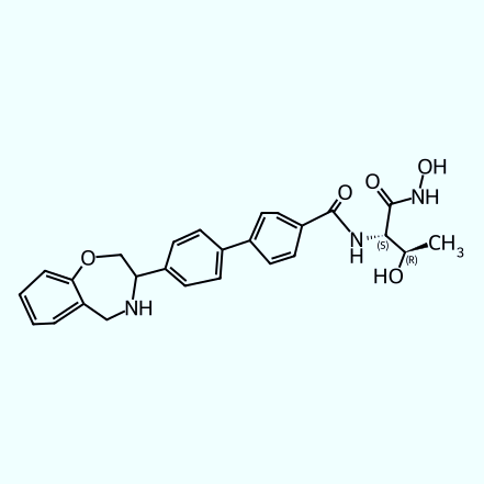 C[C@@H](O)[C@H](NC(=O)c1ccc(-c2ccc(C3COc4ccccc4CN3)cc2)cc1)C(=O)NO